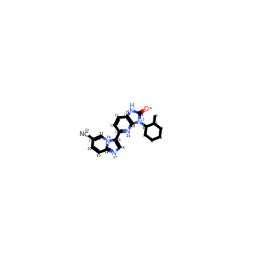 CC1CCCCC1n1c(=O)[nH]c2ccc(-c3cnc4ccc(C#N)cn34)nc21